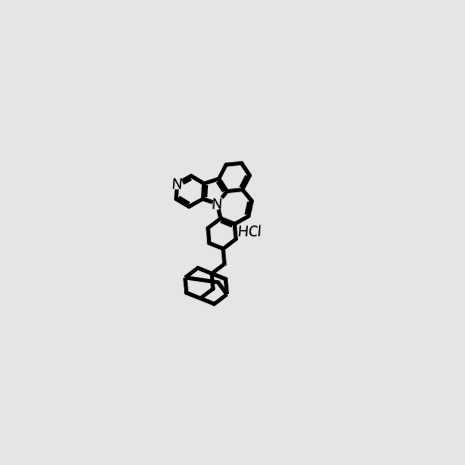 C1=CC2=C(CCC(CC34CC5CC(CC(C5)C3)C4)C2)n2c3c(c4cnccc42)CCC=C13.Cl